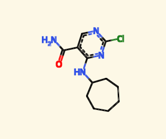 NC(=O)c1cnc(Cl)nc1NC1CCCCCC1